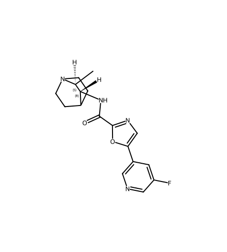 C[C@H]1[C@H](NC(=O)c2ncc(-c3cncc(F)c3)o2)C2CCN1CC2